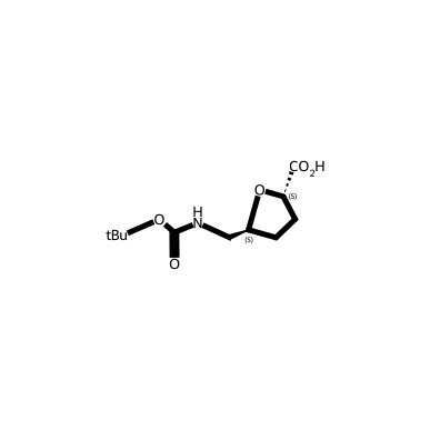 CC(C)(C)OC(=O)NC[C@@H]1CC[C@@H](C(=O)O)O1